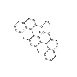 COc1ccc2ccccc2c1-c1cc(-c2c(OC)ccc3ccccc23)c(F)cc1F